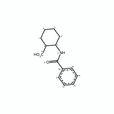 O=C(NC1CCCCC1C(=O)O)c1ccccc1